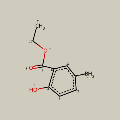 Bc1ccc(O)c(C(=O)OCC)c1